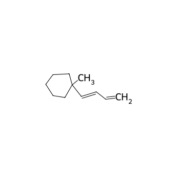 C=C/C=C/C1(C)CCCCC1